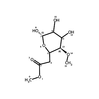 COC(=O)CC1O[C@H](O)C(O)C(O)[C@H]1OC